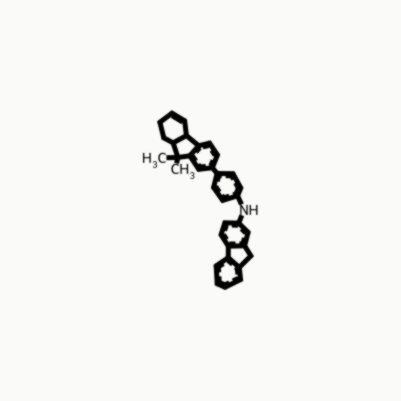 CC1(C)c2cc(-c3ccc(Nc4ccc5c(c4)Cc4ccccc4-5)cc3)ccc2C2C=CCCC21